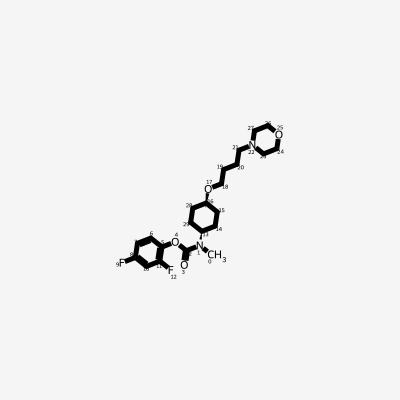 CN(C(=O)Oc1ccc(F)cc1F)[C@H]1CC[C@H](OCCCCN2CCOCC2)CC1